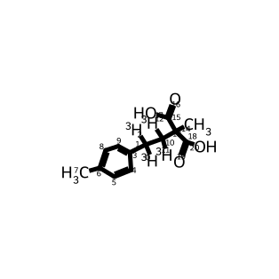 [3H]C([3H])(c1ccc(C)cc1)C([3H])([3H])C(C)(C(=O)O)C(=O)O